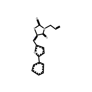 C=CCN1C(=O)S/C(=C/c2ccc(-c3ccccc3)o2)C1=S